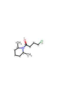 CC1CCCC(C)N1C(=O)CCCCl